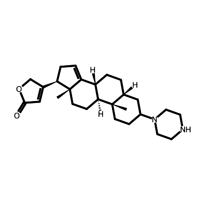 C[C@]12CCC(N3CCNCC3)C[C@H]1CC[C@H]1C3=CC[C@H](C4=CC(=O)OC4)[C@@]3(C)CC[C@@H]12